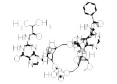 CC(C)C(=O)Nc1nc2c(ncn2[C@@H]2O[C@@H]3COP(=O)(OCCC#N)O[C@H]4[C@H]5OC[C@]4(COP(=O)(O)O[C@@H]2[C@@H]3F)O[C@H]5n2cnc3c(NC(=O)c4ccccc4)ncnc32)c(=O)[nH]1